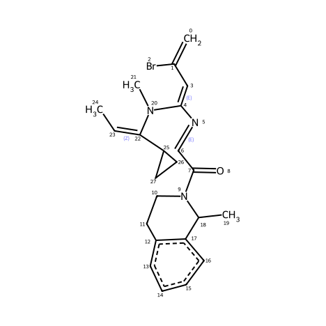 C=C(Br)/C=C(/N=C/C(=O)N1CCc2ccccc2C1C)N(C)/C(=C\C)C1CC1